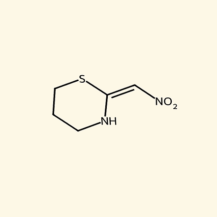 O=[N+]([O-])C=C1NCCCS1